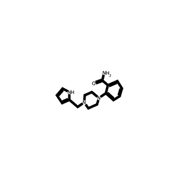 NC(=O)c1ccccc1N1CCN(Cc2ccc[nH]2)CC1